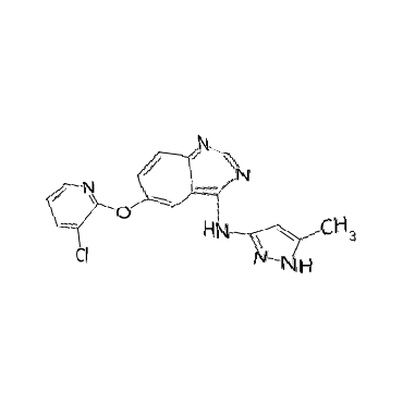 Cc1cc(Nc2ncnc3ccc(Oc4ncccc4Cl)cc23)n[nH]1